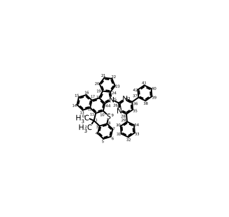 CC1(C)c2ccccc2Sc2c1c1ccccc1c1c3ccccc3n(-c3nc(-c4ccccc4)cc(-c4ccccc4)n3)c21